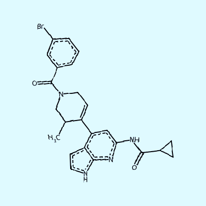 CC1CN(C(=O)c2cccc(Br)c2)CC=C1c1cc(NC(=O)C2CC2)nc2[nH]ccc12